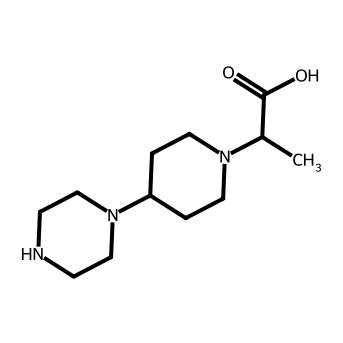 CC(C(=O)O)N1CCC(N2CCNCC2)CC1